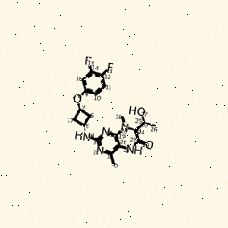 Cc1nc(N[C@H]2C[C@H](Oc3ccc(F)c(F)c3)C2)nc2c1NC(=O)[C@H]([C@H](C)O)N2C